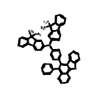 CC1(C)c2ccccc2-c2ccc(N(c3ccc(-c4c(-c5ccccc5)c5ccccc5c5oc6ccccc6c45)cc3)c3ccc4c(c3)C(C)(C)c3ccccc3-4)cc21